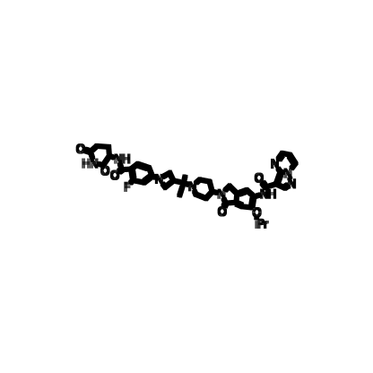 CC(C)Oc1cc2c(cc1NC(=O)c1cnn3cccnc13)CN(C1CCN(C(C)(C)C3CN(c4ccc(C(=O)NC5CCC(=O)NC5=O)c(F)c4)C3)CC1)C2=O